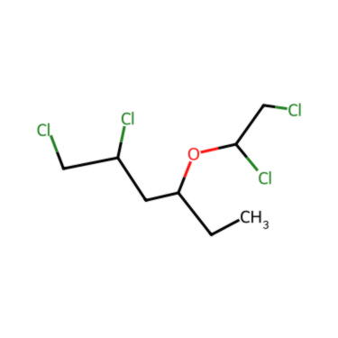 CCC(CC(Cl)CCl)OC(Cl)CCl